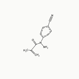 C=C(C)C(=O)N(N)c1ccc(C#N)cc1